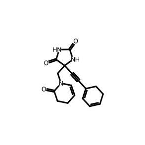 O=C1NC(=O)C(C#CC2=CC=CCC2)(CN2C=CCCC2=O)N1